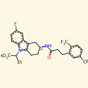 CCC(C(=O)O)n1c2c(c3cc(F)ccc31)C[C@@H](NC(=O)CCc1cc(C(F)(F)F)ccc1C(F)(F)F)CC2